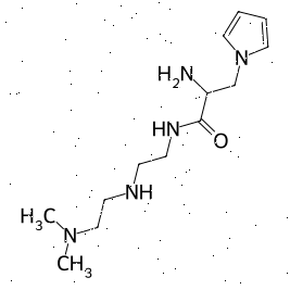 CN(C)CCNCCNC(=O)C(N)Cn1cccc1